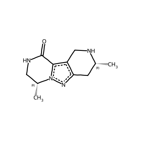 C[C@@H]1Cc2nn3c(c2CN1)C(=O)NC[C@H]3C